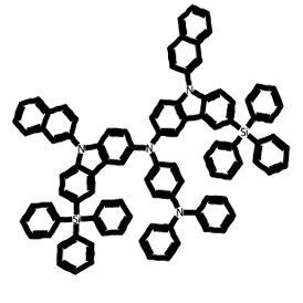 c1ccc(N(c2ccccc2)c2ccc(N(c3ccc4c(c3)c3cc([Si](c5ccccc5)(c5ccccc5)c5ccccc5)ccc3n4-c3ccc4ccccc4c3)c3ccc4c(c3)c3cc([Si](c5ccccc5)(c5ccccc5)c5ccccc5)ccc3n4-c3ccc4ccccc4c3)cc2)cc1